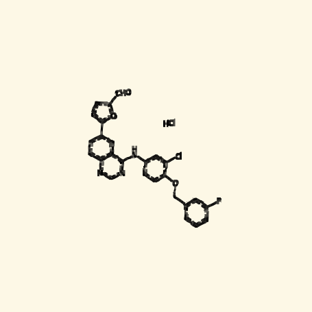 Cl.O=Cc1ccc(-c2ccc3ncnc(Nc4ccc(OCc5cccc(F)c5)c(Cl)c4)c3c2)o1